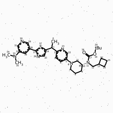 CC(c1ccc(N2CCC[C@@H](N(CC3CCC3)C(=O)OC(C)(C)C)C2)cn1)c1cnc(-c2cncc(N(C)C)c2)s1